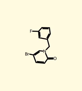 O=c1ccc(Br)cn1Cc1cccc(F)c1